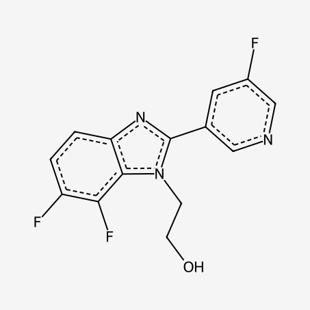 OCCn1c(-c2cncc(F)c2)nc2ccc(F)c(F)c21